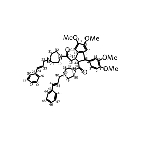 COc1ccc(C2c3cc(OC)c(OC)cc3C(CC(=O)N3CCN(CC=Cc4ccccc4)CC3)C2C(=O)N2CCN(CC=Cc3ccccc3)CC2)cc1OC